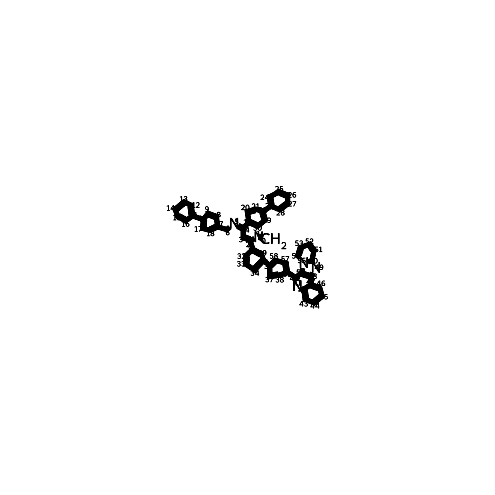 C=N/C(=C\C(=N/Cc1ccc(-c2ccccc2)cc1)c1ccc(-c2ccccc2)cc1)c1cccc(-c2ccc(-c3nc4ccccc4c4nc5ccccn5c34)cc2)c1